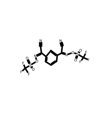 N#C/C(=N\OS(=O)(=O)C(F)(F)F)c1cccc(/C(C#N)=N\OS(=O)(=O)C(F)(F)F)c1